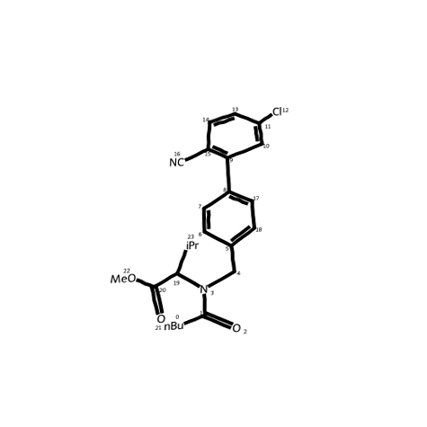 CCCCC(=O)N(Cc1ccc(-c2cc(Cl)ccc2C#N)cc1)C(C(=O)OC)C(C)C